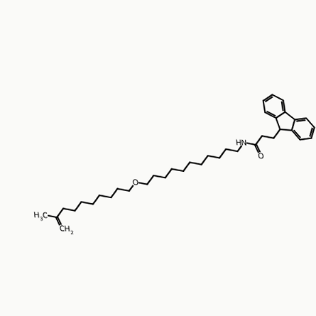 C=C(C)CCCCCCCCOCCCCCCCCCCCNC(=O)CCC1c2ccccc2-c2ccccc21